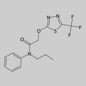 CCCN(C(=O)COc1nnc(C(F)(F)F)s1)c1ccccc1